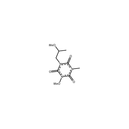 COC(C)Cn1c(=O)n(C)c(=O)n(OC)c1=O